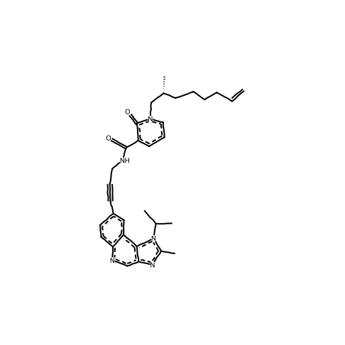 C=CCCCC[C@@H](C)Cn1cccc(C(=O)NCC#Cc2ccc3ncc4nc(C)n(C(C)C)c4c3c2)c1=O